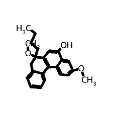 CCCCC1(OC)Cc2ccccc2-c2c1cc(O)c1cc(OC)ccc21